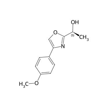 COc1ccc(-c2coc([C@H](C)O)n2)cc1